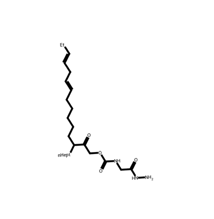 CCC=CCC=CCCCCCC(CCCCCCC)C(=O)COC(=O)NCC(=O)NN